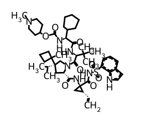 C=C[C@@H]1C[C@]1(NC(=O)[C@@H]1C[C@@](C(C)C)(C2(C)CCC2)CN1C(=O)[C@@H](NC(=O)[C@@H](NC(=O)OC1CCN(C)CC1)C1CCCCC1)C(C)(C)C)C(=O)NS(=O)(=O)c1cccc2cc[nH]c12